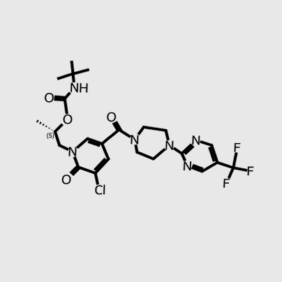 C[C@@H](Cn1cc(C(=O)N2CCN(c3ncc(C(F)(F)F)cn3)CC2)cc(Cl)c1=O)OC(=O)NC(C)(C)C